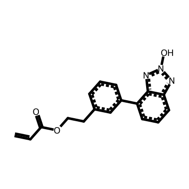 C=CC(=O)OCCc1cccc(-c2cccc3nn(O)nc23)c1